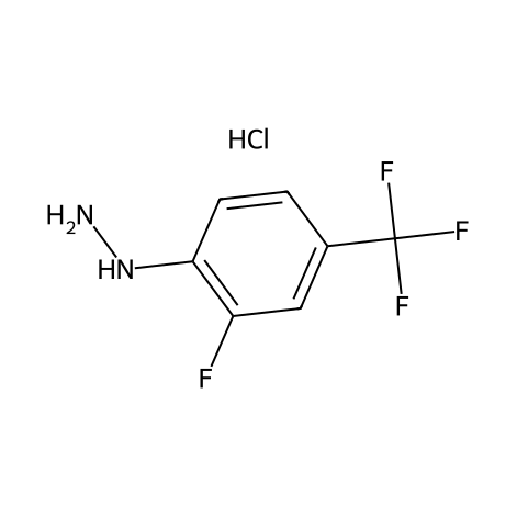 Cl.NNc1ccc(C(F)(F)F)cc1F